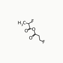 CC(F)C(=O)OC(=O)CCF